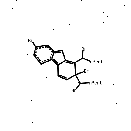 CCCCCC(Br)C1=C2C=c3cc(Br)ccc3=C2C=CC1(Br)C(Br)CCCCC